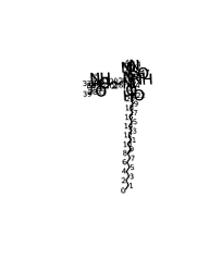 CCCCCCCCC=CCCCCCCCCCCCC(=O)OCC1(NCCCCOC(=O)[C@@H](N)[C@@H](C)CC)N=C2N=CN=C2C(=O)N1